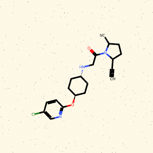 C#CC1CCC(C#N)N1C(=O)CN[C@H]1CC[C@H](Oc2ccc(Cl)cn2)CC1